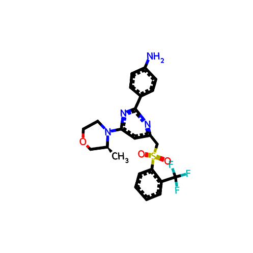 C[C@H]1COCCN1c1cc(CS(=O)(=O)c2ccccc2C(F)(F)F)nc(-c2ccc(N)cc2)n1